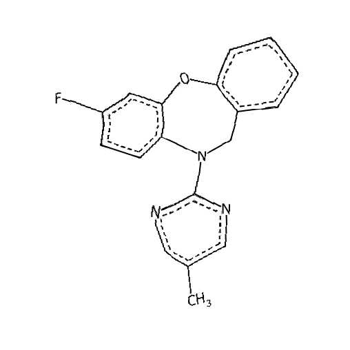 Cc1cnc(N2Cc3ccccc3Oc3cc(F)ccc32)nc1